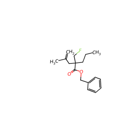 C=C(C)CC(CF)(CCC)C(=O)OCc1ccccc1